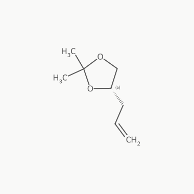 C=CC[C@H]1COC(C)(C)O1